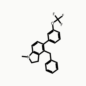 CN1CCc2c1ccc(-c1cccc(OC(F)(F)F)c1)c2Cc1ccccc1